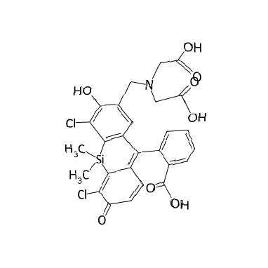 C[Si]1(C)C2=C(Cl)C(=O)C=CC2=C(c2ccccc2C(=O)O)c2cc(CN(CC(=O)O)CC(=O)O)c(O)c(Cl)c21